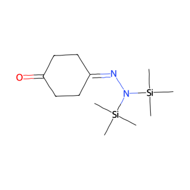 C[Si](C)(C)N(N=C1CCC(=O)CC1)[Si](C)(C)C